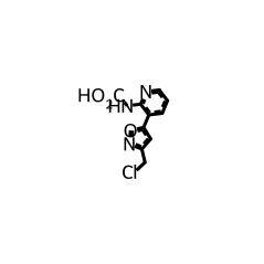 O=C(O)Nc1ncccc1-c1cc(CCl)no1